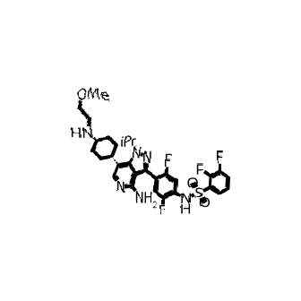 COCCN[C@H]1CC[C@H](c2cnc(N)c3c(-c4cc(F)c(NS(=O)(=O)c5cccc(F)c5F)cc4F)nn(C(C)C)c32)CC1